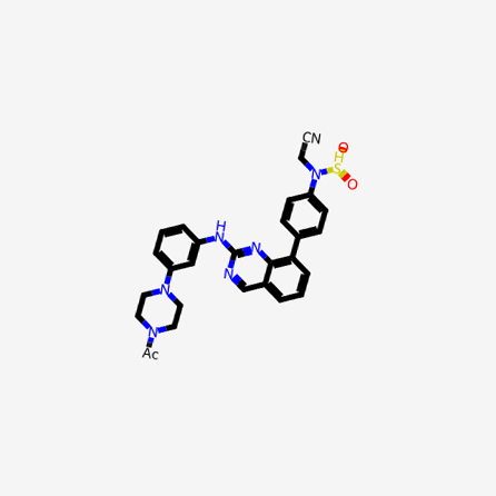 CC(=O)N1CCN(c2cccc(Nc3ncc4cccc(-c5ccc(N(CC#N)[SH](=O)=O)cc5)c4n3)c2)CC1